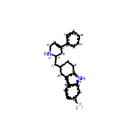 FC(F)(F)c1ccc2c3c([nH]c2c1)CCC(CC1CC(c2ccccc2)=CCN1)C3